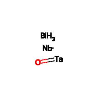 [BiH3].[Nb].[O]=[Ta]